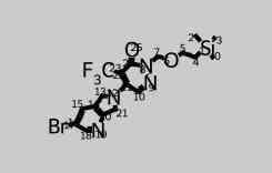 C[Si](C)(C)CCOCn1ncc(N2Cc3cc(Br)cnc3C2)c(C(F)(F)F)c1=O